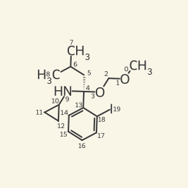 COCO[C@](CC(C)C)(NC1CC1)c1ccccc1I